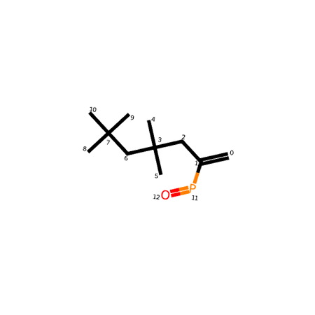 C=C(CC(C)(C)CC(C)(C)C)P=O